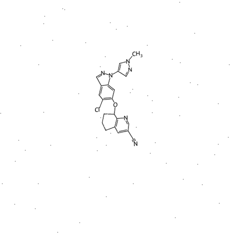 Cn1cc(-n2ncc3cc(Cl)c(OC4CCCc5cc(C#N)cnc54)cc32)cn1